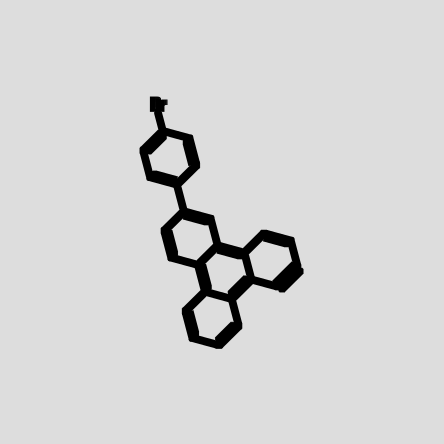 Brc1ccc(-c2ccc3c4ccccc4c4c#cccc4c3c2)cc1